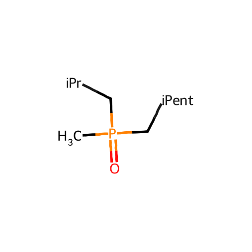 CCCC(C)CP(C)(=O)CC(C)C